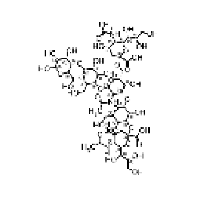 CC(=O)N[C@H]1[C@H](O[C@@H]2[C@H](O)[C@@H](O)[C@H](O[C@H]3[C@H](O)[C@@H](O)[C@H](O)O[C@@H]3CO)O[C@@H]2CO)O[C@H](CO[C@]2(C(=O)O)C[C@H](O)[C@@H](NC(C)=O)[C@H]([C@H](O)[C@H](O)CO)O2)[C@H](O)[C@@H]1O[C@@H]1O[C@H](CO)[C@H](O)[C@H](O[C@]2(C(=O)O)C[C@H](O)[C@@H](NC(C)=O)[C@H]([C@H](O)[C@H](O)CO)O2)[C@H]1O